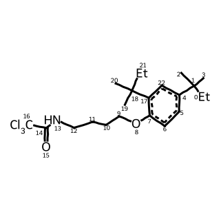 CCC(C)(C)c1ccc(OCCCCNC(=O)C(Cl)(Cl)Cl)c(C(C)(C)CC)c1